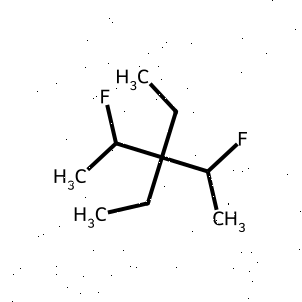 CCC(CC)(C(C)F)C(C)F